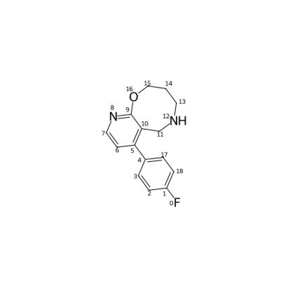 Fc1ccc(-c2ccnc3c2CNCCCO3)cc1